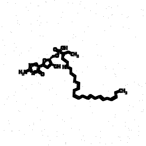 CC/C=C\CC=CCC=CC/C=C\C/C=C\CCCCNCCN(CC)P(=O)(O)OC[C@H]1OC(n2cnc(N)nc2=O)C[C@@H]1O